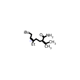 CC/C(=C/CC(C)CC)CCC(C(N)=O)=C(C)C